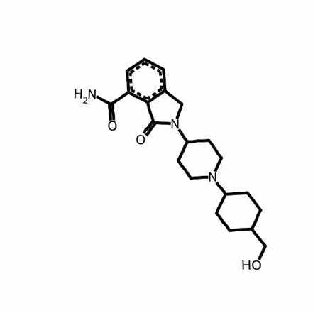 NC(=O)c1cccc2c1C(=O)N(C1CCN(C3CCC(CO)CC3)CC1)C2